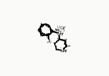 Brc1ccccc1NC1CCNCC1.Cl.Cl